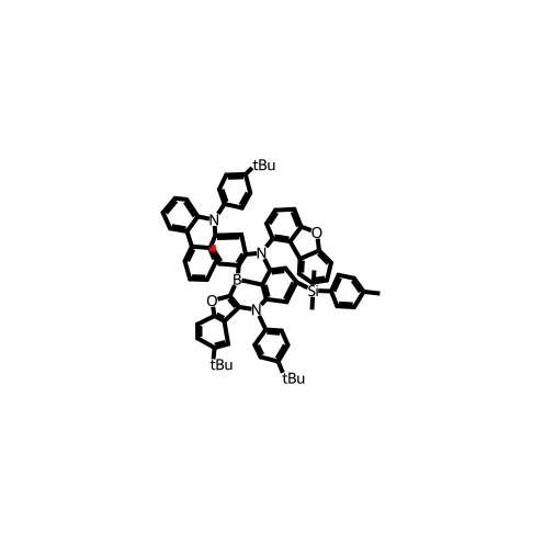 Cc1ccc([Si](C)(C)c2cc3c4c(c2)N(c2cccc5oc6ccccc6c25)c2cc(N(c5ccc(C(C)(C)C)cc5)c5ccccc5-c5ccccc5)ccc2B4c2oc4ccc(C(C)(C)C)cc4c2N3c2ccc(C(C)(C)C)cc2)cc1